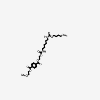 COCCOC(=O)c1ccc(C(=O)OCCOC(=O)NCCCCCCNC(=O)OCCCCOC(C)=O)cc1